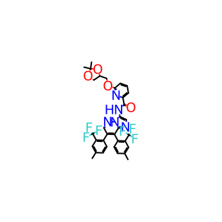 Cc1ccc(-c2cnn3c(NC(=O)c4cccc(OCC5COC(C)(C)O5)n4)cnc3c2-c2ccc(C)cc2C(F)(F)F)c(C(F)(F)F)c1